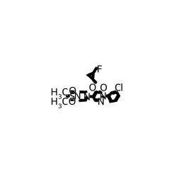 CC(C)S(=O)(=O)N1CCN(c2cnn(-c3cccc(Cl)c3)c(=O)c2OCC2CC2CF)CC1